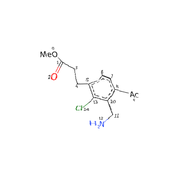 COC(=O)CCc1ccc(C(C)=O)c(CN)c1Cl